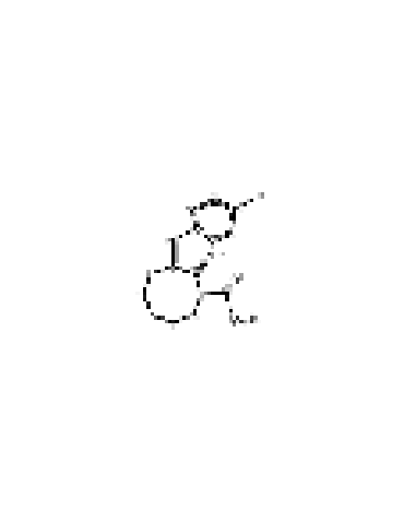 CCOC(=O)C(=O)C1CCCCCC(=Cc2ccc(F)cc2)C1=O